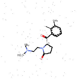 COc1cccc(C(=O)[C@@H]2CCC(=O)N2CCN(C(=O)O)C(C)(C)C)c1C